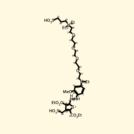 CCOC(=O)c1sc(NNc2ccc(N(CC)CCOCCOCCOCCOCC[N+](CC)(CC)CCCS(=O)(=O)O)cc2OC)c(C(=O)OCC)c1CS(=O)(=O)O